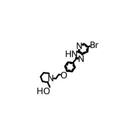 OCC1CCCCN1CCOc1ccc(-c2nc3cc(Br)cnc3[nH]2)cc1